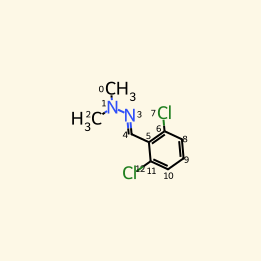 CN(C)/N=C/c1c(Cl)cccc1Cl